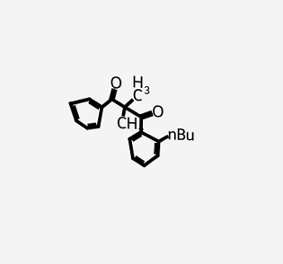 CCCCc1ccccc1C(=O)C(C)(C)C(=O)c1ccccc1